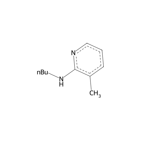 CCCCNc1ncccc1C